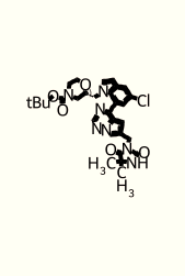 CC(C)(C)OC(=O)N1CCO[C@H](Cn2ccc3cc(Cl)cc(-c4ncnn5cc(CN6C(=O)NC(C)(C)C6=O)cc45)c32)C1